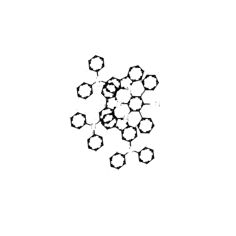 N#Cc1c(-c2ccccc2)c(-n2c3ccccc3c3cc(N(c4ccccc4)c4ccccc4)ccc32)c(-n2c3ccccc3c3cc(N(c4ccccc4)c4ccccc4)ccc32)c(-n2c3ccccc3c3cc(N(c4ccccc4)c4ccccc4)ccc32)c1-c1ccccc1